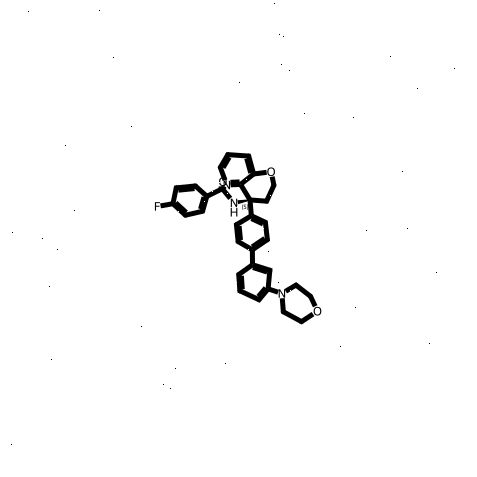 O=C(N[C@]1(c2ccc(-c3cccc(N4CCOCC4)c3)cc2)CCOc2cccnc21)c1ccc(F)cc1